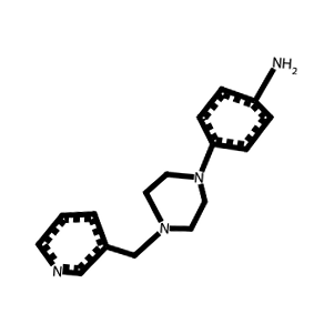 Nc1ccc(N2CCN(Cc3cccnc3)CC2)cc1